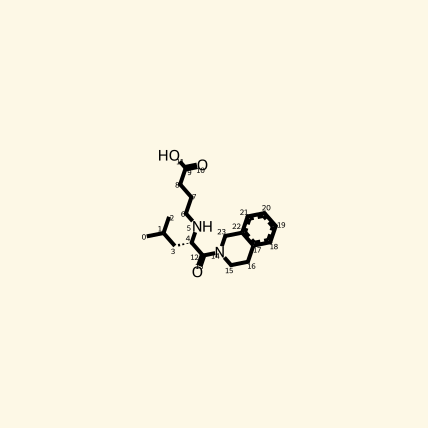 CC(C)C[C@H](NCCCC(=O)O)C(=O)N1CCc2ccccc2C1